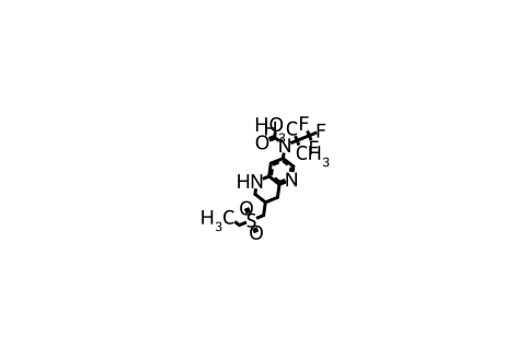 CCS(=O)(=O)CC1CNc2cc(N(C(=O)O)C(C)(C)C(F)(F)F)cnc2C1